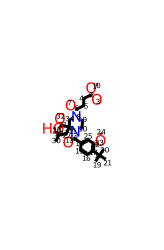 COC(=O)CCC(=O)N1CCN(C(=O)c2ccc(C(C)(C)C)c(OC)c2)C(CC(C)C)(C(=O)O)C1